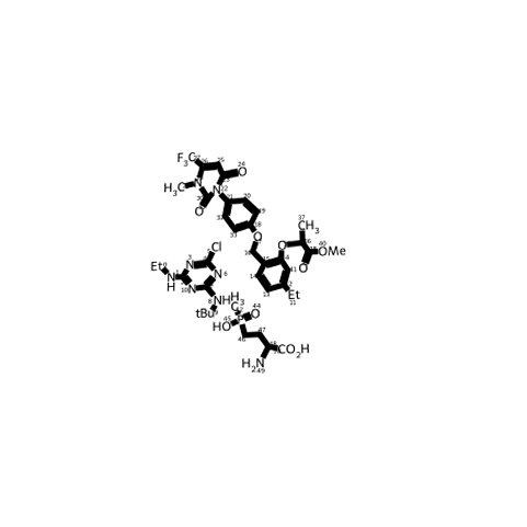 CCNc1nc(Cl)nc(NC(C)(C)C)n1.CCc1ccc(COc2ccc(-n3c(=O)cc(C(F)(F)F)n(C)c3=O)cc2)c(OC(C)C(=O)OC)c1.CP(=O)(O)CCC(N)C(=O)O